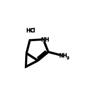 Cl.NC1=C2CC2CN1